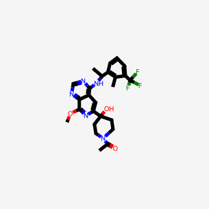 COc1nc(C2(O)CCN(C(C)=O)CC2)cc2c(NC(C)c3cccc(C(F)(F)F)c3C)ncnc12